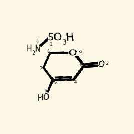 NS(=O)(=O)O.O=C1C=C(O)CCO1